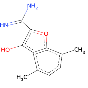 Cc1ccc(C)c2c(O)c(C(=N)N)oc12